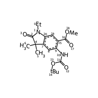 CCN1C(=O)C(C)(C)c2cc(NC(=O)OC(C)(C)C)c(C(=O)OC)cc21